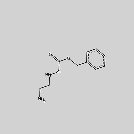 NCCNOC(=O)OCc1ccccc1